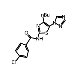 CCCCc1nc(NC(=O)c2ccc(Cl)cc2)sc1-n1cncn1